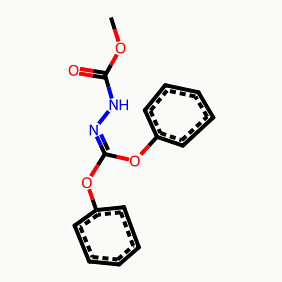 COC(=O)NN=C(Oc1ccccc1)Oc1ccccc1